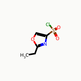 CCc1nc(S(=O)(=O)Cl)co1